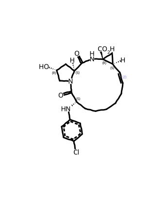 O=C1N[C@]2(C(=O)O)C[C@H]2/C=C\CCCCC[C@H](Nc2ccc(Cl)cc2)C(=O)N2C[C@H](O)C[C@@H]12